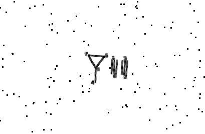 C#C.C#C.CC1CC1